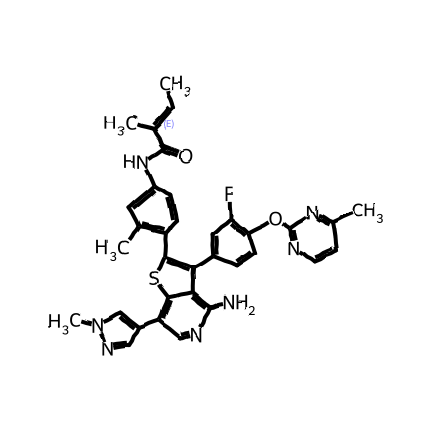 C/C=C(\C)C(=O)Nc1ccc(-c2sc3c(-c4cnn(C)c4)cnc(N)c3c2-c2ccc(Oc3nccc(C)n3)c(F)c2)c(C)c1